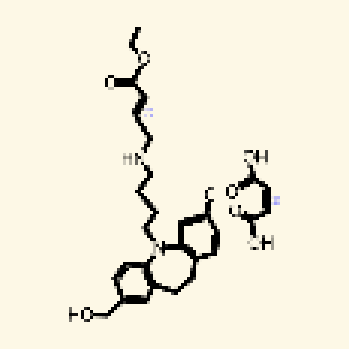 CCOC(=O)/C=C/CNCCCCN1c2ccc(CO)cc2CCc2ccc(Cl)cc21.O=C(O)/C=C\C(=O)O